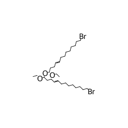 CCOC(CCC=CCCCCCCCCBr)OC(CCC=CCCCCCCCCBr)OCC